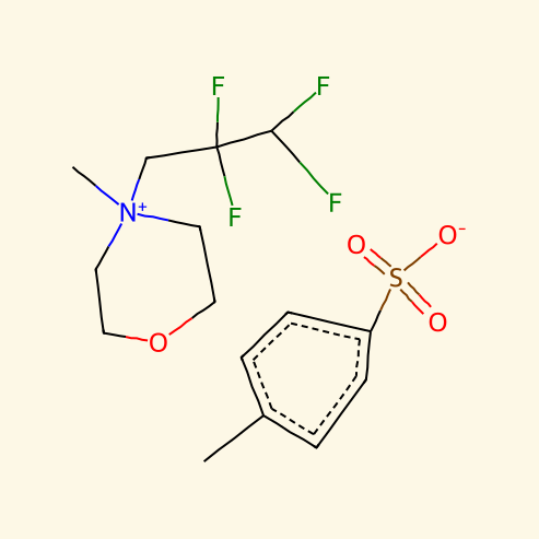 C[N+]1(CC(F)(F)C(F)F)CCOCC1.Cc1ccc(S(=O)(=O)[O-])cc1